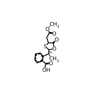 COC(=O)CC1SC([C@@H](C)c2ccccc2C(=O)O)OC1=O